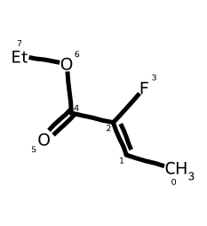 C/C=C(\F)C(=O)OCC